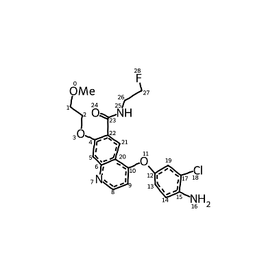 COCCOc1cc2nccc(Oc3ccc(N)c(Cl)c3)c2cc1C(=O)NCCF